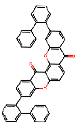 O=c1c2ccc(-c3ccccc3-c3ccccc3)cc2oc2c1ccc1oc3cc(-c4ccccc4-c4ccccc4)ccc3c(=O)c12